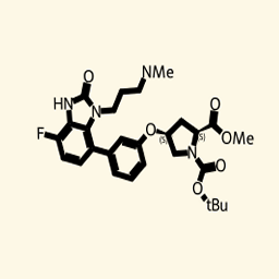 CNCCCn1c(=O)[nH]c2c(F)ccc(-c3cccc(O[C@H]4C[C@@H](C(=O)OC)N(C(=O)OC(C)(C)C)C4)c3)c21